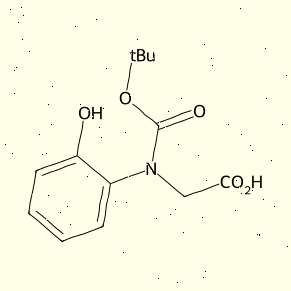 CC(C)(C)OC(=O)N(CC(=O)O)c1ccccc1O